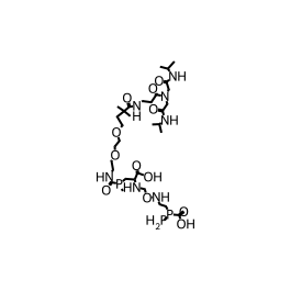 CC(C)NC(=O)CN(CC(=O)NC(C)C)C(=O)CCNC(=O)C(C)(C)CCOCCOCCNC(=O)P(C)CC(NCONCCP(P)C(=O)O)C(=O)O